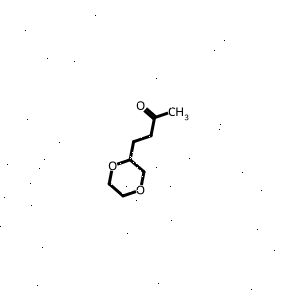 CC(=O)CCC1COCCO1